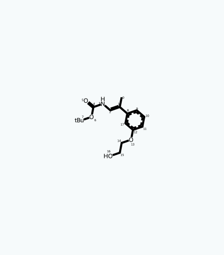 CC(=CNC(=O)OC(C)(C)C)c1cccc(OCCO)c1